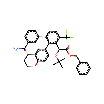 CC(C)(C)OC(C(=O)OCc1ccccc1)c1c(C(F)(F)F)ccc(-c2cccc(C(N)=O)c2)c1-c1ccc2c(c1)CCCO2